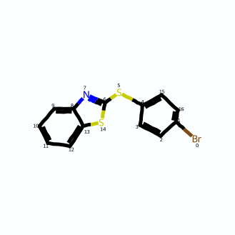 Brc1ccc(Sc2nc3ccccc3s2)cc1